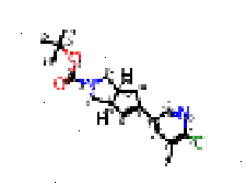 Cc1cc(C2=C[C@H]3CN(C(=O)OC(C)(C)C)C[C@H]3C2)cnc1Cl